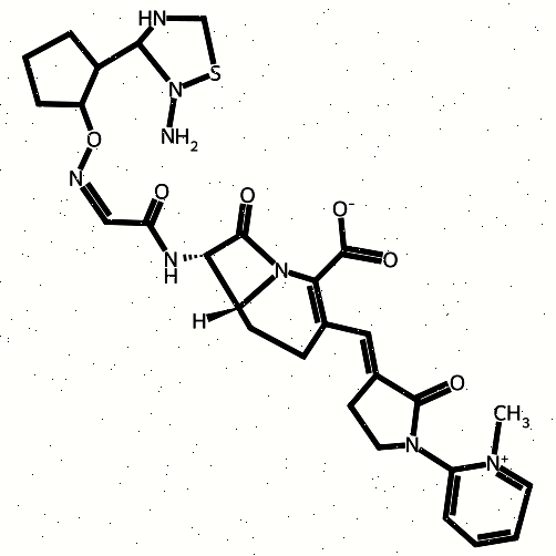 C[n+]1ccccc1N1CC/C(=C\C2=C(C(=O)[O-])N3C(=O)[C@@H](NC(=O)/C=N\OC4CCCC4C4NCSN4N)[C@H]3CC2)C1=O